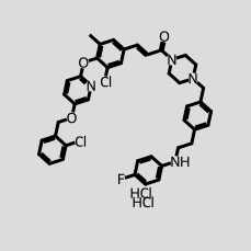 Cc1cc(/C=C/C(=O)N2CCN(Cc3ccc(CCNc4ccc(F)cc4)cc3)CC2)cc(Cl)c1Oc1ccc(OCc2ccccc2Cl)cn1.Cl.Cl